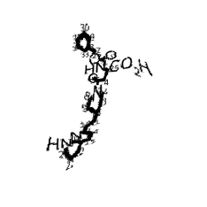 O=C(N[C@@H](CC(=O)N1CCC(CCc2ccc3c(n2)NCCC3)CC1)C(=O)O)OCc1ccccc1